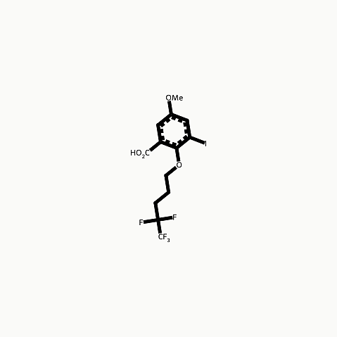 COc1cc(I)c(OCCCC(F)(F)C(F)(F)F)c(C(=O)O)c1